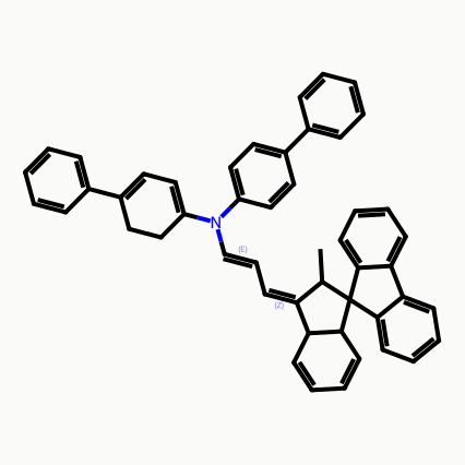 CC1/C(=C\C=C\N(C2=CC=C(c3ccccc3)CC2)c2ccc(-c3ccccc3)cc2)C2C=CC=CC2C12c1ccccc1-c1ccccc12